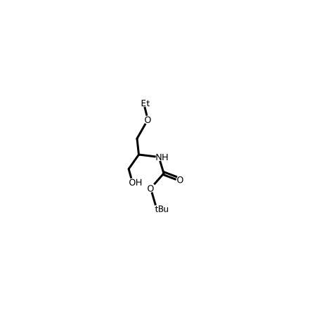 CCOCC(CO)NC(=O)OC(C)(C)C